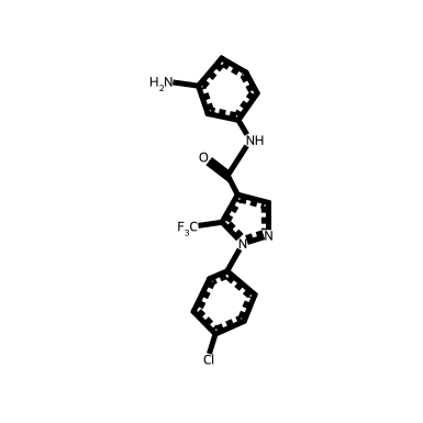 Nc1cccc(NC(=O)c2cnn(-c3ccc(Cl)cc3)c2C(F)(F)F)c1